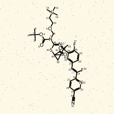 CC(C)(C)OC(=O)N(COCC[Si](C)(C)C)C1=NC(C)(c2cc(/C=C(\F)c3ccc(C#N)cn3)ccc2F)C2CC2(C(=O)O)S1